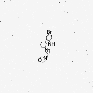 Brc1ccc2[nH]c3c(c2c1)CCCC3n1ccc(CN2CCOCC2)c1